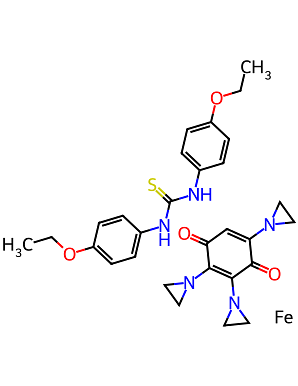 CCOc1ccc(NC(=S)Nc2ccc(OCC)cc2)cc1.O=C1C=C(N2CC2)C(=O)C(N2CC2)=C1N1CC1.[Fe]